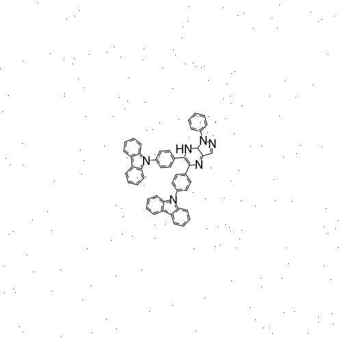 C1=NN(c2ccccc2)C2NC(c3ccc(-n4c5ccccc5c5ccccc54)cc3)=C(c3ccc(-n4c5ccccc5c5ccccc54)cc3)N=C12